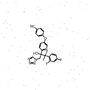 N#Cc1ccc(Oc2ccc(C(O)(Cn3cnnn3)C(F)(F)c3ccc(F)cc3F)nc2)cc1